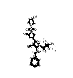 CC(C)(C)C(=O)n1nc(C2CC(=O)N(S(=O)(=O)N3CCC(O)C3)C2)c(C#N)c1NCc1ccccc1